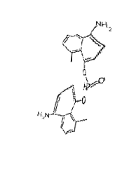 Cc1cccc2c(N)ccc(O[PH](=O)Oc3ccc(N)c4cccc(C)c34)c12